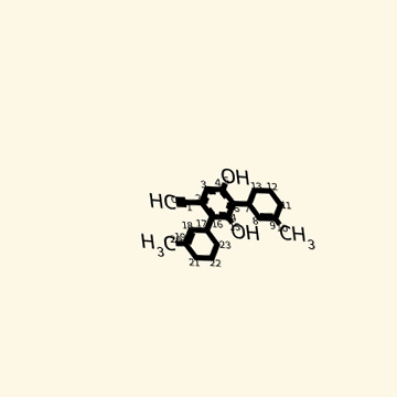 C#Cc1cc(O)c(C2C=C(C)CCC2)c(O)c1C1C=C(C)CCC1